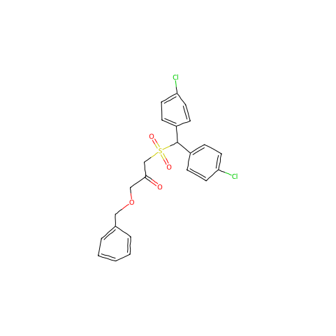 O=C(COCc1ccccc1)CS(=O)(=O)C(c1ccc(Cl)cc1)c1ccc(Cl)cc1